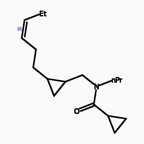 CC/C=C\CCC1CC1CN(CCC)C(=O)C1CC1